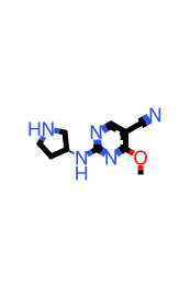 COc1nc(N[C@@H]2CCNC2)ncc1C#N